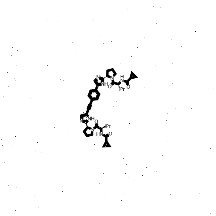 CC(C)[C@@H](NC(=O)C1CC1)C(=O)N1CCC[C@H]1c1ncc(C#Cc2ccc(-c3cnc([C@@H]4CCCN4C(=O)[C@H](NC(=O)C4CC4)C(C)C)[nH]3)cc2)[nH]1